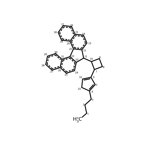 CCCCC1=CC(C2CCC2C2c3ccc4ccccc4c3-c3c2ccc2ccccc32)=CC1